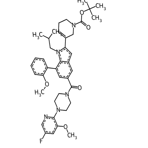 COc1ccccc1-c1cc(C(=O)N2CCN(c3ncc(F)cc3OC)CC2)cc2cc(C3=CCCN(C(=O)OC(C)(C)C)C3)n(CC(C)C)c12